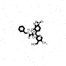 CCn1nnc2c(C)c([C@@H](c3cc(CO)c(C)cn3)C(C)(C)C(=O)OCc3ccccc3)ccc21